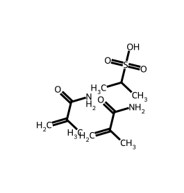 C=C(C)C(N)=O.C=C(C)C(N)=O.CC(C)S(=O)(=O)O